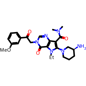 CCn1c(N2CCC[C@H](N)C2)c(C(=O)N(C)C)c2ncn(CC(=O)c3cccc(OC)c3)c(=O)c21